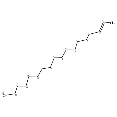 ClC=CCCCCCCCCCCCCCCCl